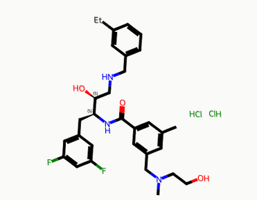 CCc1cccc(CNC[C@H](O)[C@H](Cc2cc(F)cc(F)c2)NC(=O)c2cc(C)cc(CN(C)CCO)c2)c1.Cl.Cl